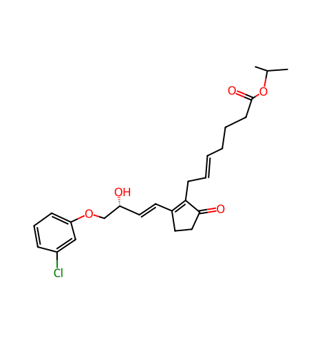 CC(C)OC(=O)CCC/C=C/CC1=C(/C=C/[C@@H](O)COc2cccc(Cl)c2)CCC1=O